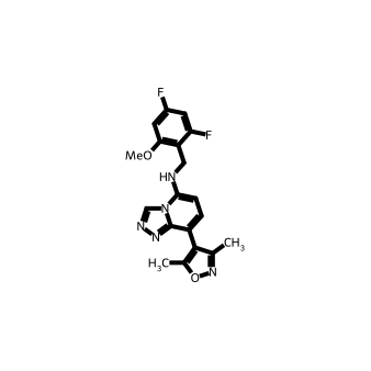 COc1cc(F)cc(F)c1CNc1ccc(-c2c(C)noc2C)c2nncn12